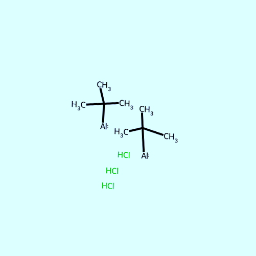 C[C](C)(C)[Al].C[C](C)(C)[Al].Cl.Cl.Cl